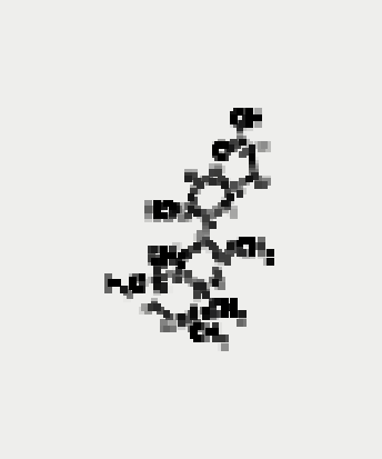 Cc1cc2c(cc1-c1cc(/C=C\C(=O)O)ccc1O)C(C)(C)CCC2(C)C